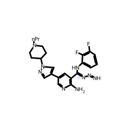 CCCN1CCC(n2cc(-c3cnc(N)c(/C(=N/N=N)Nc4cccc(F)c4F)c3)cn2)CC1